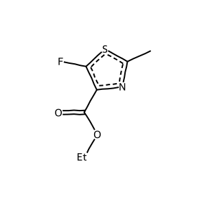 CCOC(=O)c1nc(C)sc1F